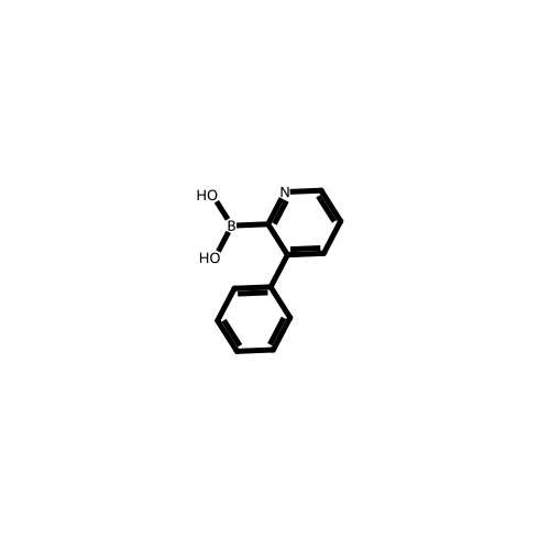 OB(O)c1ncccc1-c1ccccc1